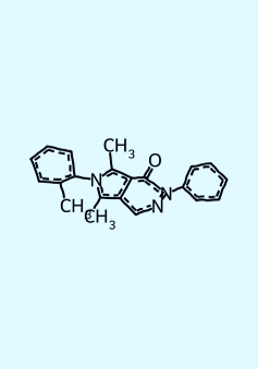 Cc1ccccc1-n1c(C)c2cnn(-c3ccccc3)c(=O)c2c1C